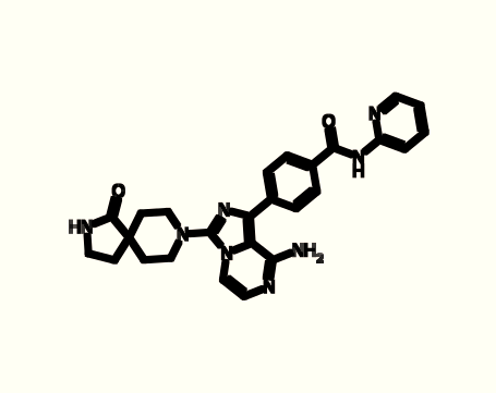 Nc1nccn2c(N3CCC4(CCNC4=O)CC3)nc(-c3ccc(C(=O)Nc4ccccn4)cc3)c12